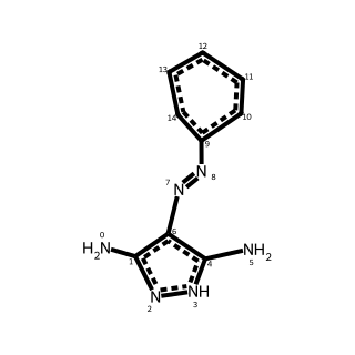 Nc1n[nH]c(N)c1/N=N/c1ccccc1